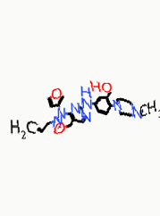 C=CCN1OCc2cnc(Nc3ccc(N4CCN(C)CC4)c(CO)c3)nc2N1c1ccoc1